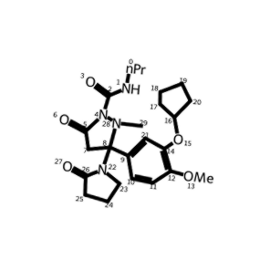 CCCNC(=O)N1C(=O)CC(c2ccc(OC)c(OC3CCCC3)c2)(N2CCCC2=O)N1C